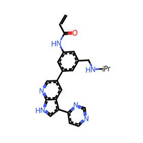 C=CC(=O)Nc1cc(CNC(C)C)cc(-c2cnc3[nH]cc(-c4ccncn4)c3c2)c1